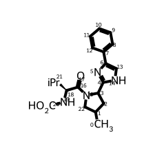 CC1CC(c2nc(-c3ccccc3)c[nH]2)N(C(=O)[C@@H](NC(=O)O)C(C)C)C1